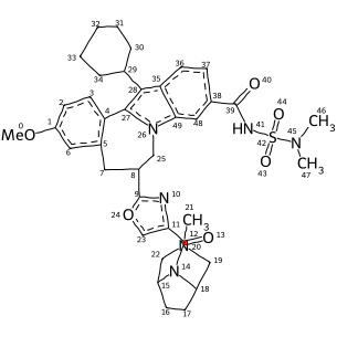 COc1ccc2c(c1)CC(c1nc(C(=O)N3C4CCC3CN(C)C4)co1)Cn1c-2c(C2CCCCC2)c2ccc(C(=O)NS(=O)(=O)N(C)C)cc21